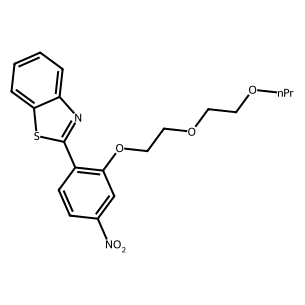 CCCOCCOCCOc1cc([N+](=O)[O-])ccc1-c1nc2ccccc2s1